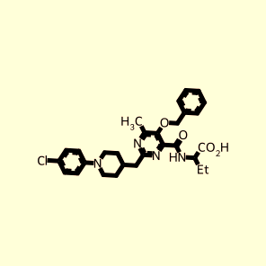 CCC(NC(=O)c1nc(CC2CCN(c3ccc(Cl)cc3)CC2)nc(C)c1OCc1ccccc1)C(=O)O